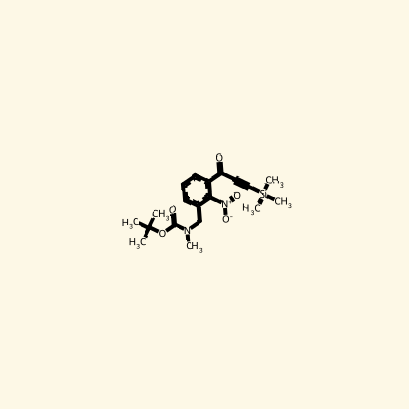 CN(Cc1cccc(C(=O)C#C[Si](C)(C)C)c1[N+](=O)[O-])C(=O)OC(C)(C)C